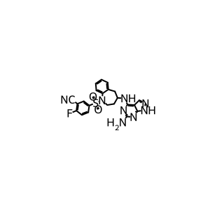 N#Cc1cc(S(=O)(=O)N2CCC(Nc3nc(N)nc4[nH]ncc34)Cc3ccccc32)ccc1F